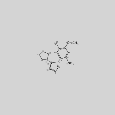 COc1cc(N)c(-c2ccnn2C2CCCC2)cc1Br